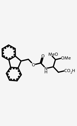 COC(OC)C(CC(=O)O)NC(=O)OCC1c2ccccc2-c2ccccc21